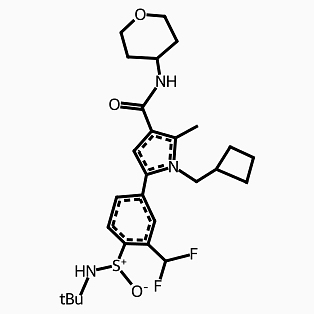 Cc1c(C(=O)NC2CCOCC2)cc(-c2ccc([S+]([O-])NC(C)(C)C)c(C(F)F)c2)n1CC1CCC1